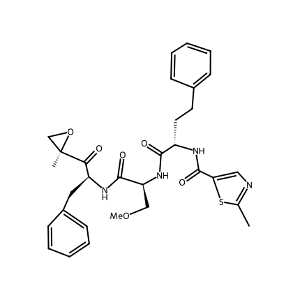 COC[C@H](NC(=O)[C@H](CCc1ccccc1)NC(=O)c1cnc(C)s1)C(=O)N[C@@H](Cc1ccccc1)C(=O)[C@@]1(C)CO1